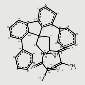 C=C(C)C(=O)C(O)CC1(CC(O)C(=O)C(=C)C)c2c(-c3ccccc3)cccc2-c2cccc(-c3ccccc3)c21